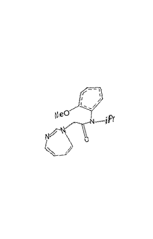 COc1ccccc1N(C(=O)CN1C=CC=CN=C1)C(C)C